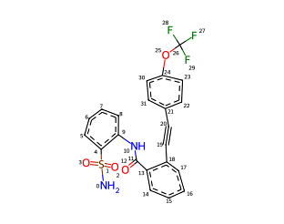 NS(=O)(=O)c1ccccc1NC(=O)c1ccccc1C#Cc1ccc(OC(F)(F)F)cc1